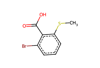 CSc1cccc(Br)c1C(=O)O